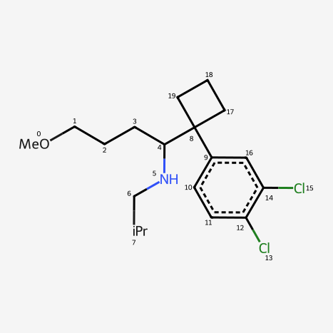 COCCCC(NCC(C)C)C1(c2ccc(Cl)c(Cl)c2)CCC1